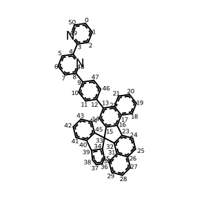 c1ccc(-c2cccc(-c3ccc(-c4cc5c(c6ccccc46)-c4ccc6ccccc6c4C54c5ccccc5-c5ccccc54)cc3)n2)nc1